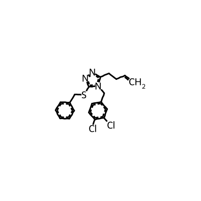 C=CCCc1nnc(SCc2ccccc2)n1Cc1ccc(Cl)c(Cl)c1